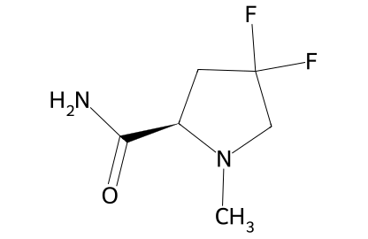 CN1CC(F)(F)C[C@@H]1C(N)=O